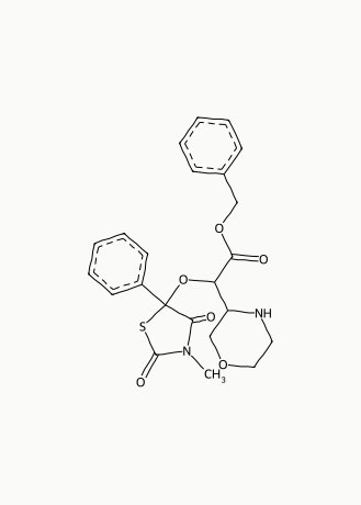 CN1C(=O)SC(OC(C(=O)OCc2ccccc2)C2COCCN2)(c2ccccc2)C1=O